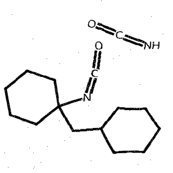 N=C=O.O=C=NC1(CC2CCCCC2)CCCCC1